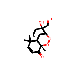 CC1(C)C=CC(=O)[C@@]2(C)OOC3C[C@]12CC[C@]3(O)CO